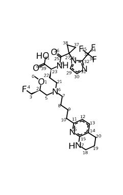 CO[C@H](CF)CN(CCCCc1ccc2c(n1)NCCC2)CC[C@H](NC(=O)C1(n2ccnc2C(F)(F)F)CC1)C(=O)O